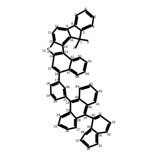 CC1(C)c2ccccc2-c2ccc3sc4cc(-c5cccc(-c6c7ccccc7c(-c7cccc8ccccc78)c7ccccc67)c5)c5ccccc5c4c3c21